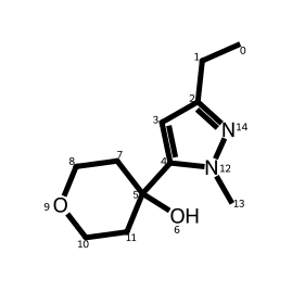 CCc1cc(C2(O)CCOCC2)n(C)n1